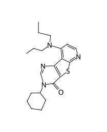 CCCN(CCC)c1ccnc2sc3c(=O)n(C4CCCCC4)cnc3c12